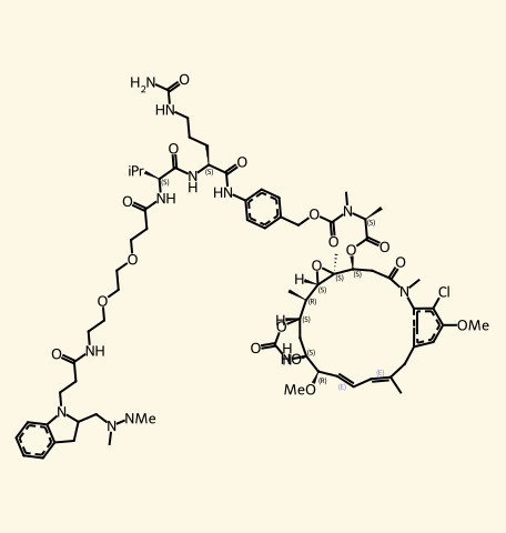 CNN(C)CC1Cc2ccccc2N1CCC(=O)NCCOCCOCCC(=O)N[C@H](C(=O)N[C@@H](CCCNC(N)=O)C(=O)Nc1ccc(COC(=O)N(C)[C@@H](C)C(=O)O[C@H]2CC(=O)N(C)c3cc(cc(OC)c3Cl)C/C(C)=C/C=C/[C@@H](OC)[C@@]3(O)C[C@H](OC(=O)N3)[C@@H](C)[C@@H]3O[C@@]23C)cc1)C(C)C